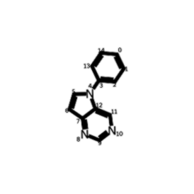 c1ccc(-n2ccc3ncncc32)cc1